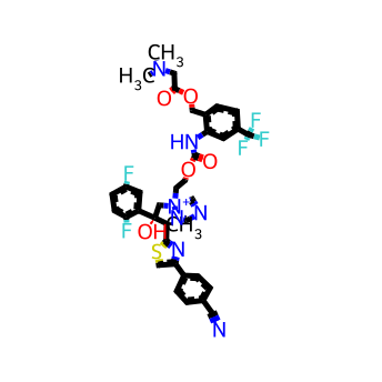 C[C@@H](c1nc(-c2ccc(C#N)cc2)cs1)[C@](O)(C[N+]1(CCOC(=O)Nc2cc(C(F)(F)F)ccc2COC(=O)CN(C)C)C=NC=N1)c1cc(F)ccc1F